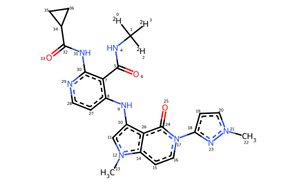 [2H]C([2H])([2H])NC(=O)c1c(Nc2cn(C)c3ccn(-c4ccn(C)n4)c(=O)c23)ccnc1NC(=O)C1CC1